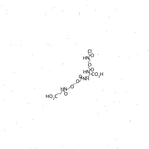 O=C(O)CCCC(=O)NCCOCCOCC(=O)NCCC(NC(=O)COCCNC(=O)CCl)C(=O)O